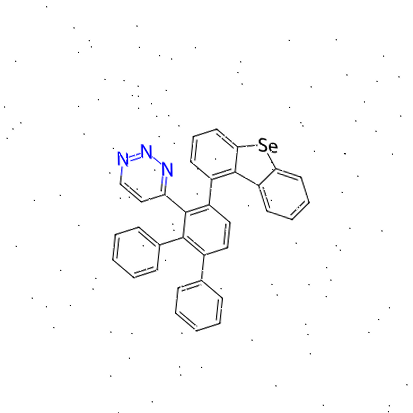 c1ccc(-c2ccc(-c3cccc4[se]c5ccccc5c34)c(-c3ccnnn3)c2-c2ccccc2)cc1